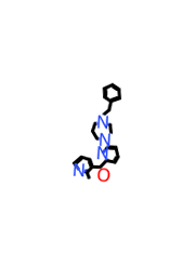 Cc1ncccc1C(=O)c1cccc(N2CCCN(CCc3ccccc3)CC2)n1